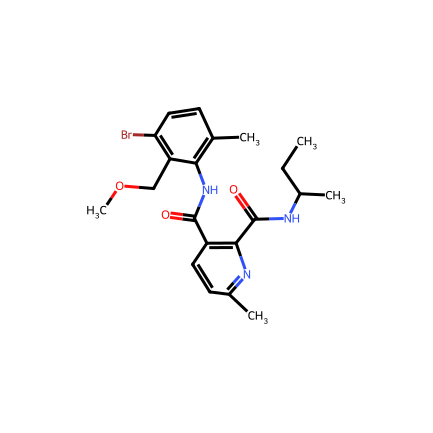 CCC(C)NC(=O)c1nc(C)ccc1C(=O)Nc1c(C)ccc(Br)c1COC